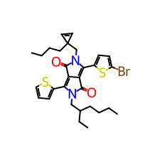 CCCCC(CC)CN1C(=O)C2=C(c3ccc(Br)s3)N(CC3(CCCC)C=C3)C(=O)C2=C1c1cccs1